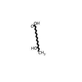 CCCC(O)CCCCCCCCCCCC(=O)O